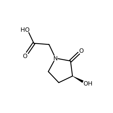 O=C(O)CN1CC[C@H](O)C1=O